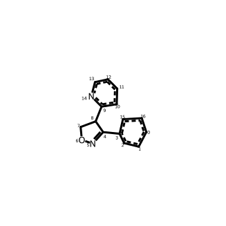 c1ccc(C2=NOCC2c2ccccn2)cc1